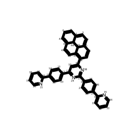 C1=CC2=CC=C3C=CC(c4cc(-c5ccc(-c6ccccn6)cc5)nc(-c5ccc(-c6ccccn6)cc5)n4)=C4C=CC(=C1)C2C34